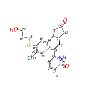 Cc1ccc(/C(=C/[C@H]2CCC(=O)C2)c2ccc(SCCCO)c(Cl)c2)[nH]c1=O